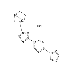 Cl.c1coc(-c2ccc(-c3nnc(N4CCN5CCC4CC5)o3)cc2)c1